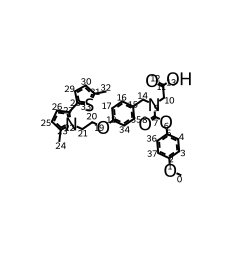 COc1ccc(OC(=O)N(CC(=O)O)Cc2ccc(OCCn3c(C)ccc3-c3ccc(C)s3)cc2)cc1